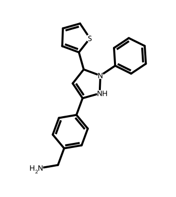 NCc1ccc(C2=CC(c3cccs3)N(c3ccccc3)N2)cc1